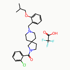 CC(C)COc1ccccc1CN1CCC2(CC1)CCN(C(=O)c1ccccc1Cl)C2.O=C(O)C(F)(F)F